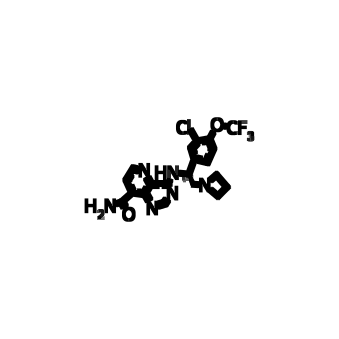 NC(=O)c1ccnc2c(N[C@H](CN3CCC3)c3ccc(OC(F)(F)F)c(Cl)c3)ncnc12